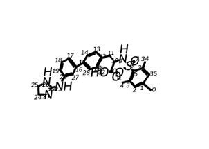 Cc1cc(C)c(S(=O)(=O)N[C@H](Cc2ccc(-c3cccc(NC4=NCCN4)c3)cc2)C(=O)O)c(C)c1